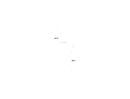 CCCOC(=O)C[CH2][Sn+2][CH2]CC(=O)OCCC.[S-2]